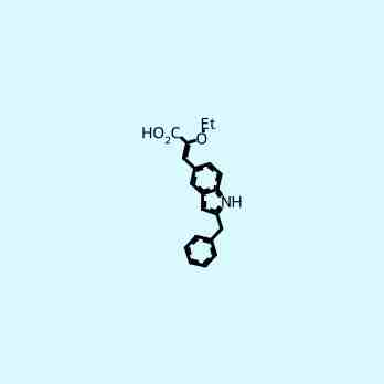 CCOC(=Cc1ccc2[nH]c(Cc3ccccc3)cc2c1)C(=O)O